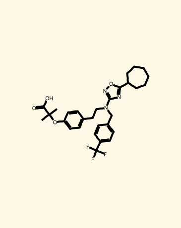 CC(C)(Oc1ccc(CCN(Cc2ccc(C(F)(F)F)cc2)c2noc(C3CCCCCC3)n2)cc1)C(=O)O